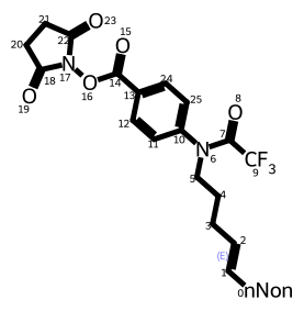 CCCCCCCCC/C=C/CCCN(C(=O)C(F)(F)F)c1ccc(C(=O)ON2C(=O)CCC2=O)cc1